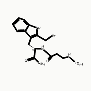 CNC(=O)[C@H](Cc1c(CC(C)C)[nH]c2ccccc12)NC(=O)CCNC(=O)O